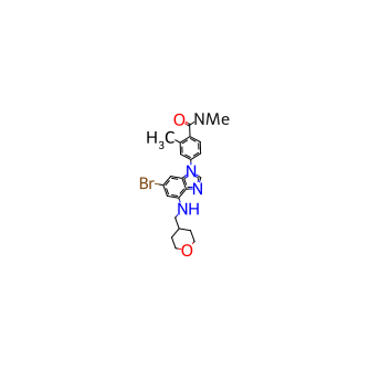 CNC(=O)c1ccc(-n2cnc3c(NCC4CCOCC4)cc(Br)cc32)cc1C